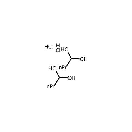 CCCC(O)O.CCCC(O)O.Cl.Cl